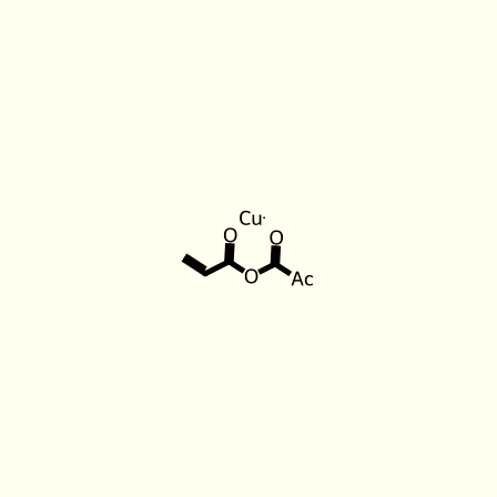 C=CC(=O)OC(=O)C(C)=O.[Cu]